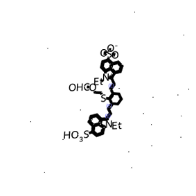 CCn1/c(=C/C=C2\CCCC(/C=C/C3=[N+](CC)c4ccc(S(=O)(=O)[O-])c5cccc3c45)=C2SCCOC=O)c2cccc3c(S(=O)(=O)O)ccc1c32